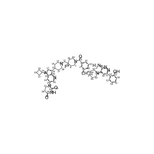 Cc1cc(C(=O)N2CCC(F)(CN3CCC(c4cn(C5CCC5)c5cc(N6CCC(=O)NC6=O)cnc45)CC3)CC2)ccc1[C@H]1CCCN(c2cc(-c3ccccc3O)nnc2N)C1